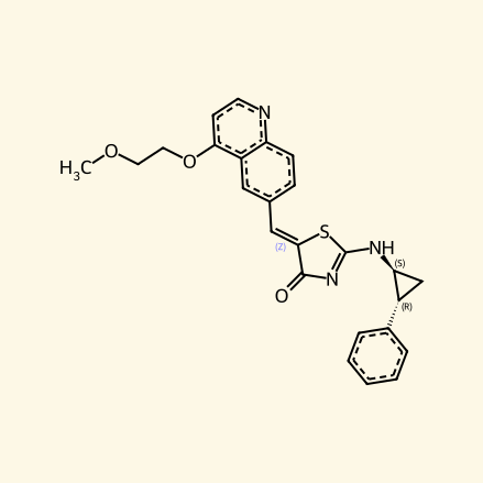 COCCOc1ccnc2ccc(/C=C3\SC(N[C@H]4C[C@@H]4c4ccccc4)=NC3=O)cc12